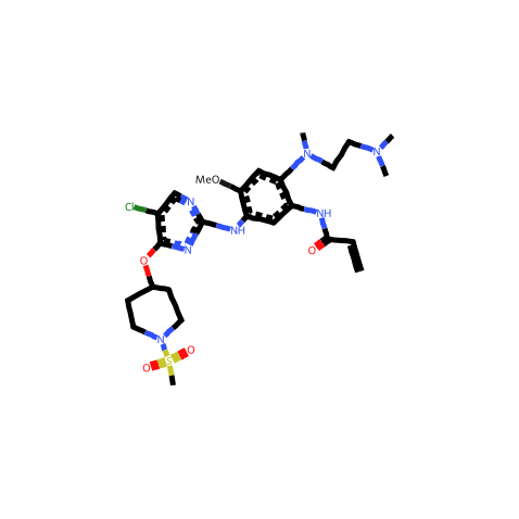 C=CC(=O)Nc1cc(Nc2ncc(Cl)c(OC3CCN(S(C)(=O)=O)CC3)n2)c(OC)cc1N(C)CCN(C)C